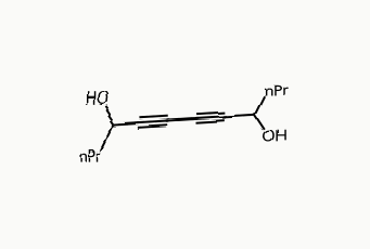 CCCC(O)C#CC#CC(O)CCC